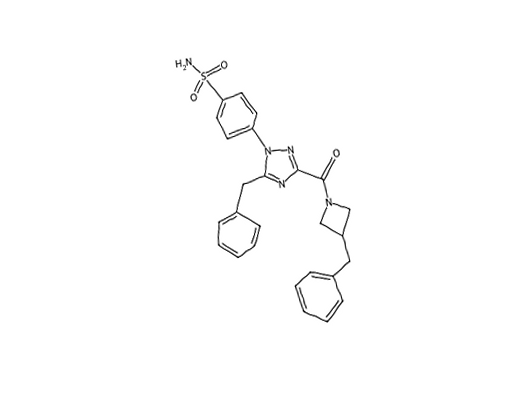 NS(=O)(=O)c1ccc(-n2nc(C(=O)N3CC(Cc4ccccc4)C3)nc2Cc2ccccc2)cc1